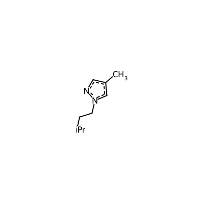 Cc1cnn(CCC(C)C)c1